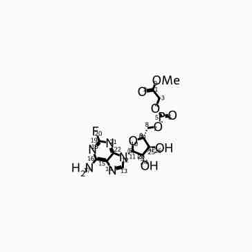 COC(=O)CO[P](=O)OC[C@H]1O[C@@H](n2cnc3c(N)nc(F)nc32)[C@@H](O)[C@@H]1O